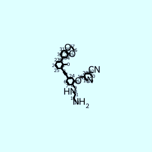 Cc1c(C#Cc2ccc(CNCCN)c(OCc3cncc(C#N)c3)c2)cccc1-c1ccc2c(c1)OCCO2